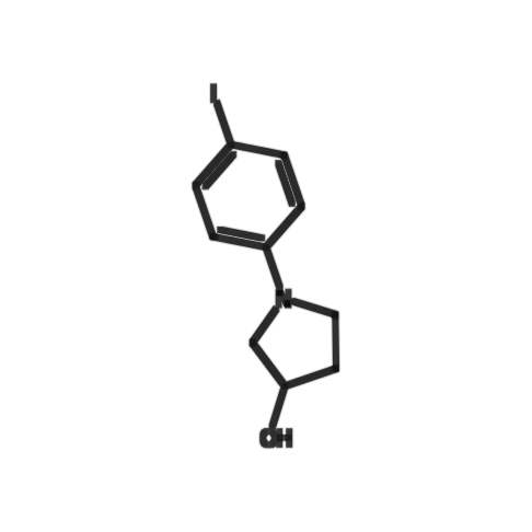 OC1CCN(c2ccc(I)cc2)C1